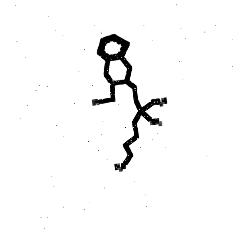 BCCCCC(N)(CCC1Cc2ccccc2CN1CC(C)C)C(=O)O